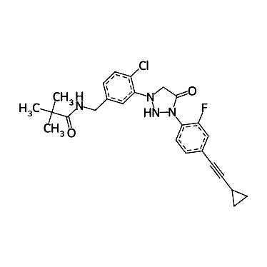 CC(C)(C)C(=O)NCc1ccc(Cl)c(N2CC(=O)N(c3ccc(C#CC4CC4)cc3F)N2)c1